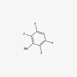 CC(C)(C)c1c(F)c(F)cc(F)c1F